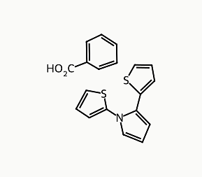 O=C(O)c1ccccc1.c1csc(-c2cccn2-c2cccs2)c1